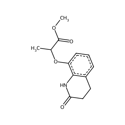 COC(=O)C(C)Oc1cccc2c1NC(=O)CC2